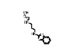 COBNCCCNc1nc2ccccc2o1